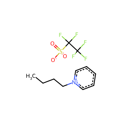 CCCC[n+]1ccccc1.O=S(=O)([O-])C(F)(F)C(F)(F)F